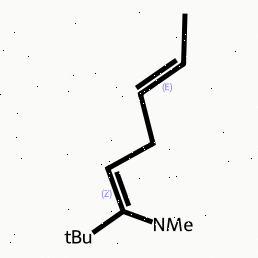 C/C=C/C/C=C(\NC)C(C)(C)C